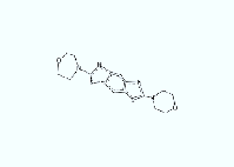 c1c2nc(N3CCOCC3)sc2cc2sc(N3CCOCC3)nc12